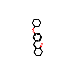 O=C1CCCCC1=Cc1cccc(OC2CCCCC2)c1